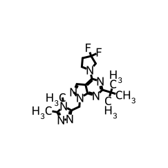 Cc1nnc(Cn2ncc3c(N4CCC(F)(F)C4)nc(C(C)(C)C)nc32)n1C